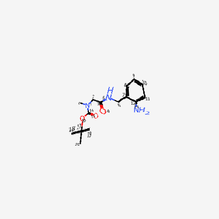 CN(CC(=O)NCc1ccccc1N)C(=O)OC(C)(C)C